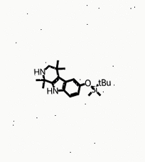 CC1(C)CNC(C)(C)c2[nH]c3ccc(O[Si](C)(C)C(C)(C)C)cc3c21